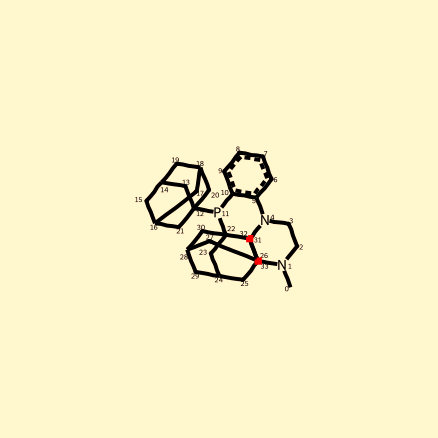 CN1CCN(c2ccccc2P(C23CC4CC(CC(C4)C2)C3)C23CC4CC(CC(C4)C2)C3)CC1